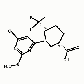 CSc1nc(Cl)cc(N2C[C@@H](C(=O)O)CC[C@H]2C(F)(F)F)n1